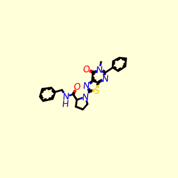 Cn1c(-c2ccccc2)nc2sc(N3CCCC3C(=O)NCc3ccccc3)nc2c1=O